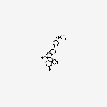 OC(c1ccc(F)cc1F)(C(F)F)C(c1ccc(-c2ccc(OC(F)(F)F)cc2)cn1)n1cnnn1